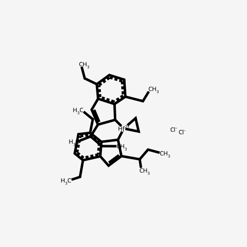 CCc1ccc(CC)c2c1C=C(C(C)CC)[CH]2[Hf+2]1([CH]2C(C(C)CC)=Cc3c(CC)ccc(CC)c32)[CH2][CH2]1.[Cl-].[Cl-]